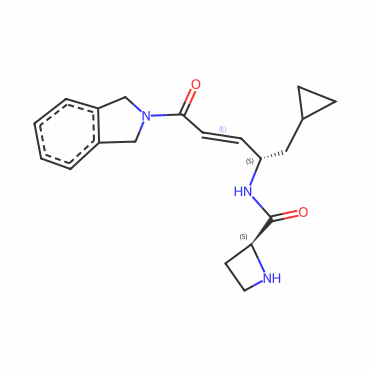 O=C(N[C@H](/C=C/C(=O)N1Cc2ccccc2C1)CC1CC1)[C@@H]1CCN1